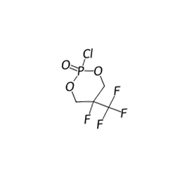 O=P1(Cl)OCC(F)(C(F)(F)F)CO1